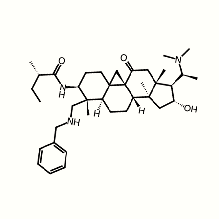 CC[C@H](C)C(=O)N[C@H]1CCC23C[C@]24C(=O)C[C@]2(C)[C@@H]([C@H](C)N(C)C)[C@H](O)C[C@@]2(C)[C@@H]4CC[C@H]3[C@]1(C)CNCc1ccccc1